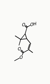 COC(=O)C(C)=CC1C(C(=O)O)C1(C)C